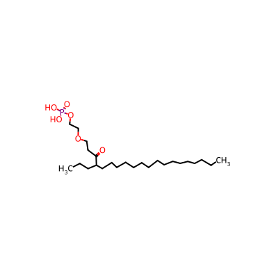 CCCCCCCCCCCCCCCCC(CCC)C(=O)CCOCCOP(=O)(O)O